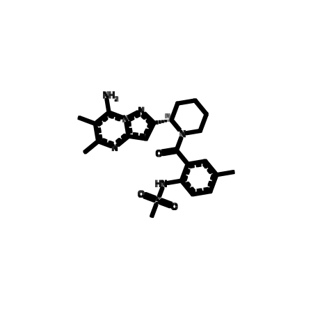 Cc1ccc(NS(C)(=O)=O)c(C(=O)N2CCCC[C@H]2c2cc3nc(C)c(C)c(N)n3n2)c1